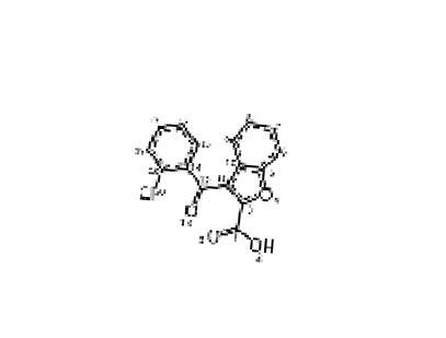 O=C(O)c1oc2ccccc2c1C(=O)c1ccccc1Cl